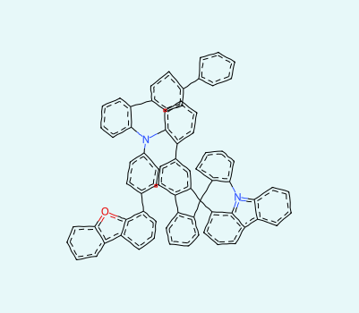 c1ccc(-c2ccc(-c3ccccc3N(c3ccc(-c4cccc5c4oc4ccccc45)cc3)c3ccccc3-c3ccc4c(c3)C3(c5ccccc5-4)c4ccccc4-n4c5ccccc5c5cccc3c54)cc2)cc1